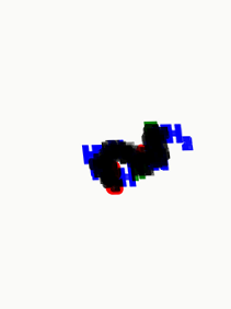 Cn1nc(C2CCC(=O)NC2=O)c2ccc(NC3CCN(CC4CCC(n5cc(NC(=O)c6cnn7ccc(N8CC[C@H](F)[C@@H](N)C8)nc67)c(C(F)F)n5)CC4)CC3)cc21